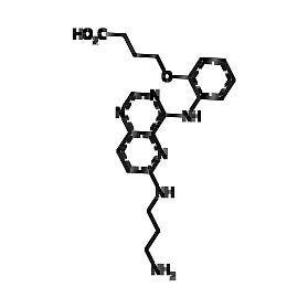 NCCCNc1ccc2ncnc(Nc3ccccc3OCCCC(=O)O)c2n1